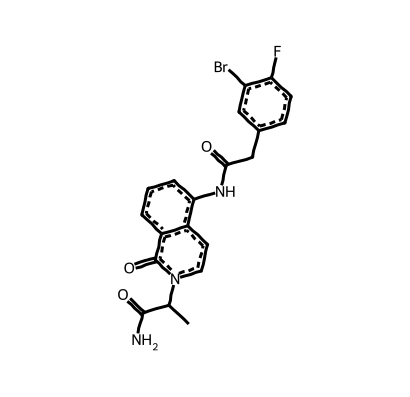 CC(C(N)=O)n1ccc2c(NC(=O)Cc3ccc(F)c(Br)c3)cccc2c1=O